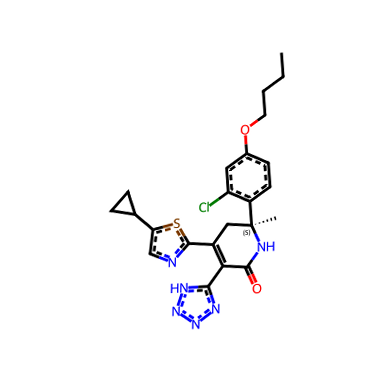 CCCCOc1ccc([C@]2(C)CC(c3ncc(C4CC4)s3)=C(c3nnn[nH]3)C(=O)N2)c(Cl)c1